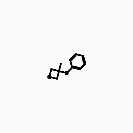 CC1(Oc2ccccc2)C[N]C1